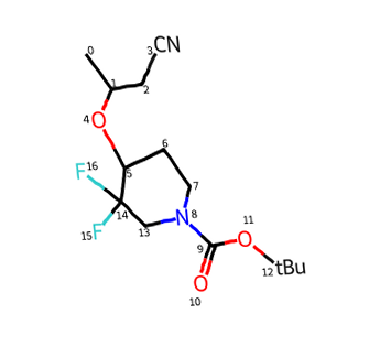 CC(CC#N)OC1CCN(C(=O)OC(C)(C)C)CC1(F)F